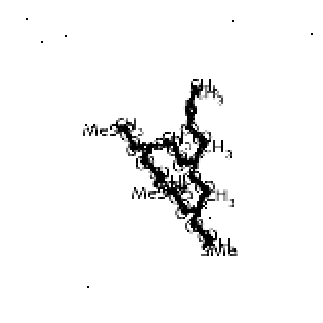 CSCC(C)C(=O)OCCOC(=O)CCN(CCSCC(C)C(=O)OCCOC(=O)CCN(CCSCC(C)C(=O)OCCOC(=O)CCN1CCN(CCCN(C)C)CC1)CCC(=O)OCCOC(=O)C(C)CSCCN(CCC(=O)OCCOC(=O)C(C)CSC)CCC(=O)OCCOC(=O)C(C)CSC)CCC(=O)OCCOC(=O)C(C)CSC